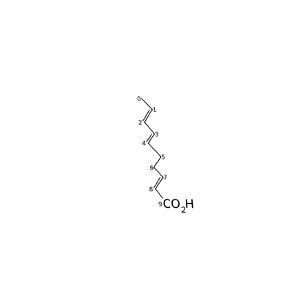 C/C=C/C=C/CC/C=C/C(=O)O